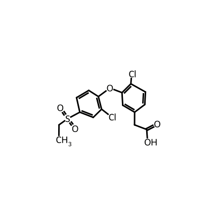 CCS(=O)(=O)c1ccc(Oc2cc(CC(=O)O)ccc2Cl)c(Cl)c1